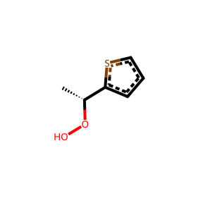 C[C@@H](OO)c1cccs1